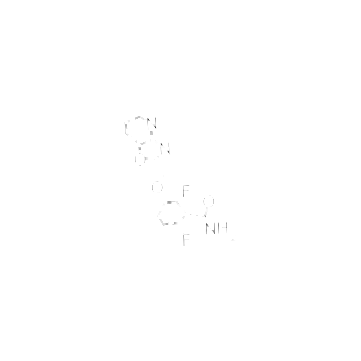 NC(=O)c1c(F)ccc(OCc2nc3ncccc3o2)c1F